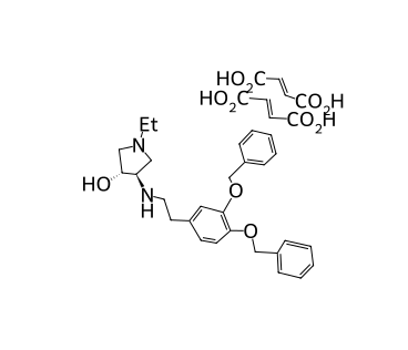 CCN1C[C@@H](O)[C@H](NCCc2ccc(OCc3ccccc3)c(OCc3ccccc3)c2)C1.O=C(O)C=CC(=O)O.O=C(O)C=CC(=O)O